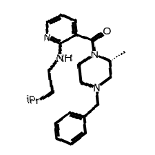 CC(C)CCNc1ncccc1C(=O)N1CCN(Cc2ccccc2)C[C@H]1C